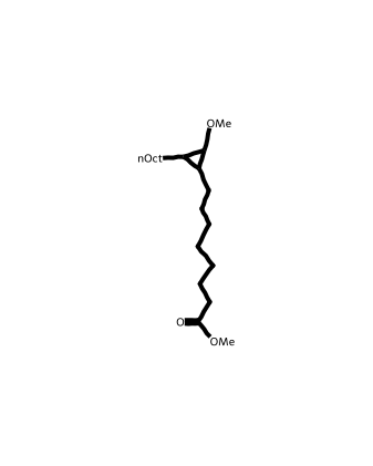 CCCCCCCCC1C(CCCCCCCC(=O)OC)C1OC